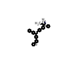 C=CCc1c(/C=C\C)n(-c2ccccc2)c2ccc(-c3ccc(CCC(c4ccc(-c5ccccc5)cc4)c4ccc(-c5ccc6sc7c(c6c5)C=CCC7)cc4)cc3)cc12